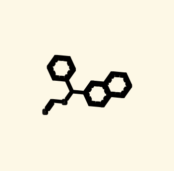 O=COC(c1ccccc1)c1ccc2ccccc2c1